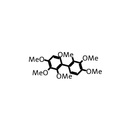 COc1ccc(-c2ccc(OC)c(OC)c2OC)c(OC)c1OC